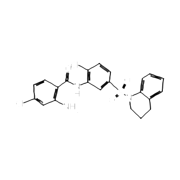 Nc1cc(Cl)ccc1C(=O)Nc1cc(S(=O)(=O)N2CCCc3ccccc32)ccc1Cl